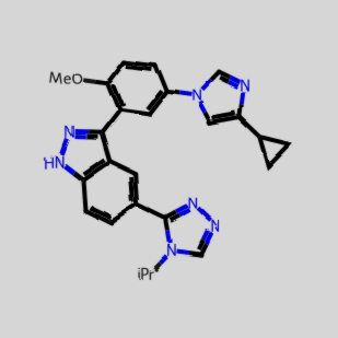 COc1ccc(-n2cnc(C3CC3)c2)cc1-c1n[nH]c2ccc(-c3nncn3C(C)C)cc12